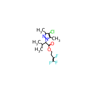 Cc1nn(C(C(=O)OCCC(F)=C(F)F)C(C)C)c(C)c1Cl